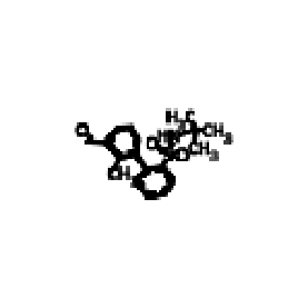 Cc1c([C]=O)cccc1-c1ccccc1S(=O)(=O)NC(C)(C)C